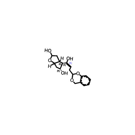 O/C(=C/CC1OCc2ccccc2O1)[C@@H]1[C@H]2CC(O)O[C@H]2C[C@H]1O